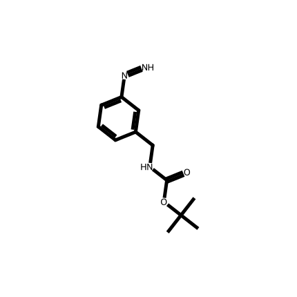 CC(C)(C)OC(=O)NCc1cccc(N=N)c1